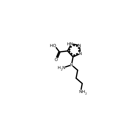 NCCCN(N)c1nn[nH]c1C(=O)O